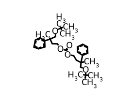 CC(C)(C)OCC(C)(CCOC(=O)OCCC(C)(COC(C)(C)C)c1ccccc1)c1ccccc1